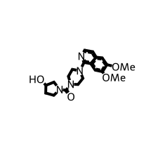 COc1cc2ccnc(N3CCN(C(=O)N4CCC(O)C4)CC3)c2cc1OC